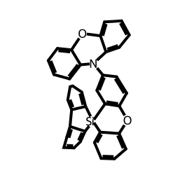 c1ccc2c(c1)Oc1ccccc1N2c1ccc2c(c1)[Si]1(c3ccccc3O2)c2ccccc2-c2ccccc21